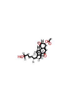 CC(=O)O[C@@H]1CC2=CC(=O)[C@H]3[C@@H]4CC[C@H]([C@H](C)CCCC(C)(C)O)[C@@]4(C)CC[C@@H]3[C@@]2(C)[C@@H]2O[C@@H]21